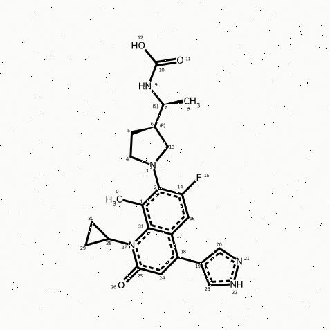 Cc1c(N2CC[C@@H]([C@H](C)NC(=O)O)C2)c(F)cc2c(-c3cn[nH]c3)cc(=O)n(C3CC3)c12